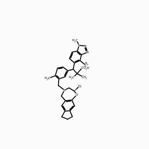 CC[C@@H]1CN(Cc2cc(C(c3ccc4c(nnn4C)c3C)C(C)(C)C(=O)O)ccc2C)Cc2cc3c(cc2O1)CCC3